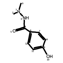 CN(C)NC(=O)c1ccc(O)cc1